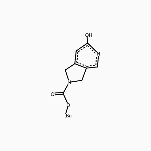 CC(C)(C)OC(=O)N1Cc2cnc(O)cc2C1